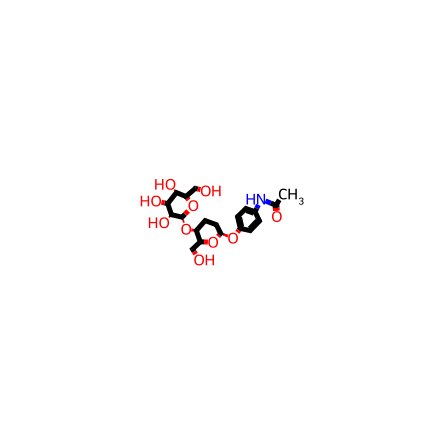 CC(=O)Nc1ccc(O[C@@H]2CC[C@H](O[C@H]3OC(CO)[C@@H](O)C(O)[C@H]3O)C(CO)O2)cc1